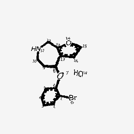 Brc1ccccc1OC1CCNCc2occc21.Cl